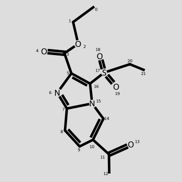 CCOC(=O)c1nc2ccc(C(C)=O)cn2c1S(=O)(=O)CC